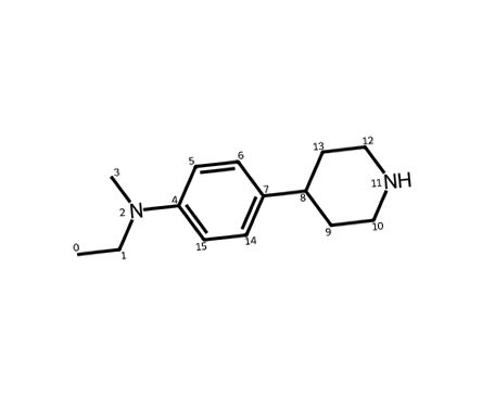 CCN(C)c1ccc(C2CCNCC2)cc1